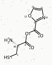 N[C@@H](CS)C(=O)OC(=O)c1ncco1